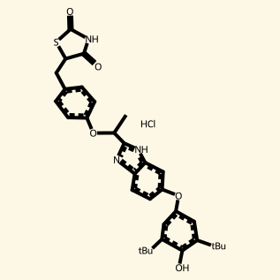 CC(Oc1ccc(CC2SC(=O)NC2=O)cc1)c1nc2ccc(Oc3cc(C(C)(C)C)c(O)c(C(C)(C)C)c3)cc2[nH]1.Cl